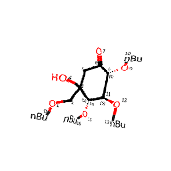 CCCCOCC1(O)CC(=O)[C@H](OCCCC)[C@@H](OCCCC)[C@@H]1OCCCC